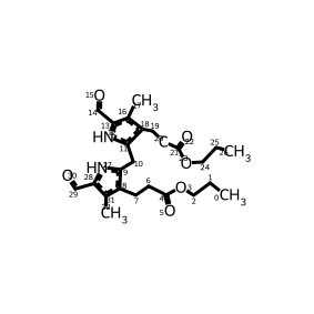 CCCOC(=O)CCc1c(Cc2[nH]c(C=O)c(C)c2CCC(=O)OCCC)[nH]c(C=O)c1C